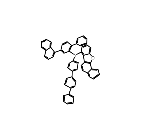 c1ccc(-c2ccc(-c3ccc(N(c4cc(-c5cccc6ccccc56)ccc4-c4ccccc4)c4cccc5oc6c7ccccc7ccc6c45)cc3)cc2)cc1